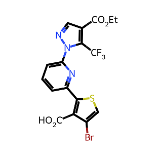 CCOC(=O)c1cnn(-c2cccc(-c3scc(Br)c3C(=O)O)n2)c1C(F)(F)F